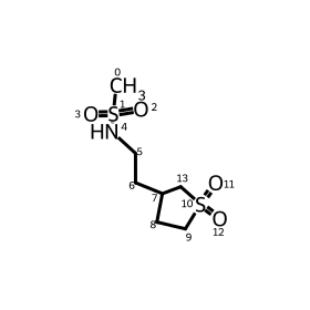 CS(=O)(=O)NCCC1CCS(=O)(=O)C1